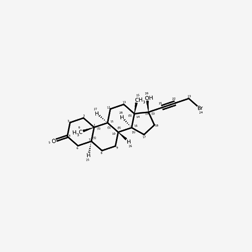 C[C@]12CCC(=O)C[C@@H]1CC[C@@H]1[C@@H]2CC[C@@]2(C)[C@H]1CC[C@@]2(O)C#CCBr